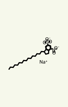 CCCCCCCCCCCCCCCCC1CCc2c1cc(S(=O)(=O)[O-])cc2[N+](=O)[O-].[Na+]